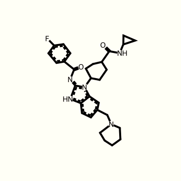 O=C(/N=c1/[nH]c2ccc(CN3CCCCC3)cc2n1C1CCC(C(=O)NC2CC2)CC1)c1ccc(F)cc1